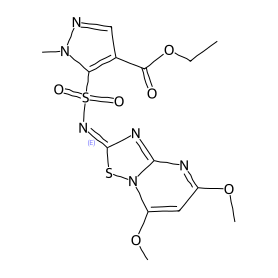 CCOC(=O)c1cnn(C)c1S(=O)(=O)/N=c1\nc2nc(OC)cc(OC)n2s1